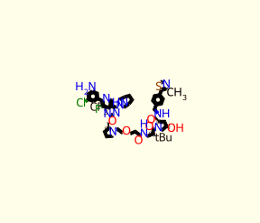 Cc1ncsc1-c1ccc(CNC(=O)[C@H]2C[C@H](O)CN2C(=O)[C@H](CNC(=O)CCOCCN2CCC[C@H]2COc2nc(N3CC4CCC(C3)N4)c3cnc(-c4cc(N)cc(Cl)c4C(F)(F)F)c(F)c3n2)C(C)(C)C)cc1